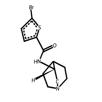 O=C(N[C@H]1CN2CCC1CC2)c1ccc(Br)s1